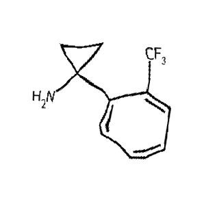 NC1(c2ccccc2C(F)(F)F)CC1